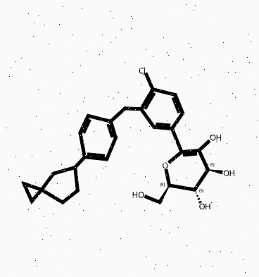 OC[C@H]1OC(c2ccc(Cl)c(Cc3ccc(C4CCC5(CC5)C4)cc3)c2)=C(O)[C@@H](O)[C@@H]1O